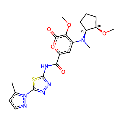 COc1c(N(C)[C@H]2CCC[C@H]2OC)cc(C(=O)Nc2nnc(-n3nccc3C)s2)oc1=O